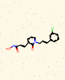 O=C(/C=C/c1cccn(C/C=C/c2cccc(Cl)c2)c1=O)NO